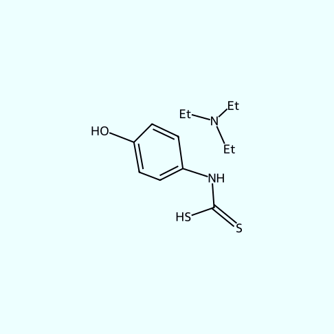 CCN(CC)CC.Oc1ccc(NC(=S)S)cc1